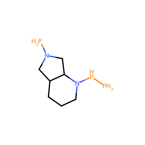 PPN1CCCC2CN(P)CC21